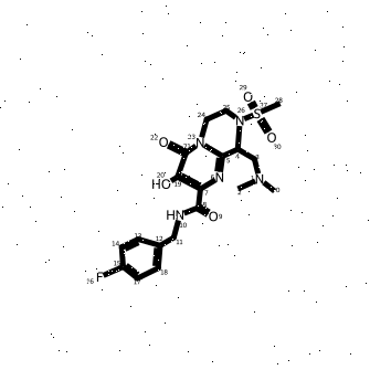 CN(C)CC1c2nc(C(=O)NCc3ccc(F)cc3)c(O)c(=O)n2CCN1S(C)(=O)=O